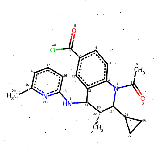 CC(=O)N1c2ccc(C(=O)Cl)cc2C(Nc2cccc(C)n2)[C@@H](C)C1C1CC1